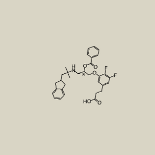 CC(C)(CC1Cc2ccccc2C1)NC[C@H](COc1cc(CCC(=O)O)cc(F)c1F)OC(=O)c1ccccc1